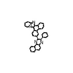 c1ccc(-c2nc3ccc4ccccc4c3nc2-c2ccc3c(c2)c2ccccc2c2nc4ccccn4c32)cc1